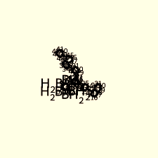 Bc1c(B)c(B)c(-c2nc(-c3ccc(-c4cccc5ccccc45)cc3)nc(-c3cccc(-c4cccc5c(-c6ccccc6)cccc45)c3)n2)c(B)c1B